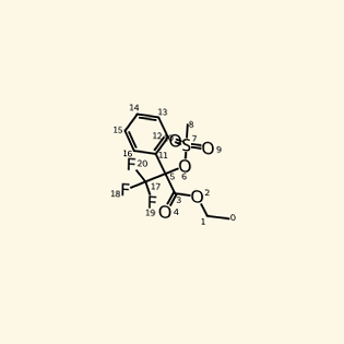 CCOC(=O)C(OS(C)(=O)=O)(c1ccccc1)C(F)(F)F